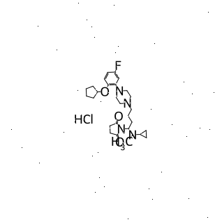 CN(C1CC1)C(CCCN1CCN(c2cc(F)ccc2OC2CCCC2)CC1)N1C(=O)CCC1=O.Cl